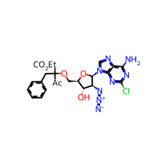 CCOC(=O)C(Cc1ccccc1)(OC[C@H]1O[C@@H](n2cnc3c(N)nc(Cl)nc32)[C@@H](N=[N+]=[N-])[C@@H]1O)C(C)=O